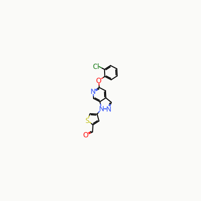 O=Cc1cc(-n2ncc3cc(Oc4ccccc4Cl)ncc32)cs1